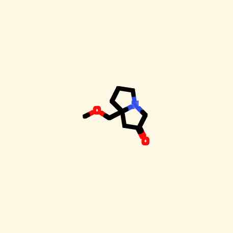 COCC12CCCN1CC(=O)C2